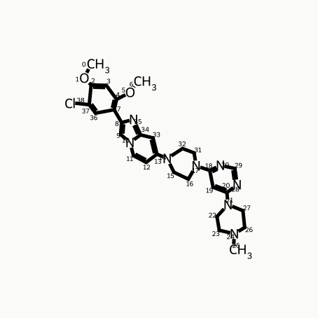 COc1cc(OC)c(-c2cn3ccc(N4CCN(c5cc(N6CCN(C)CC6)ncn5)CC4)cc3n2)cc1Cl